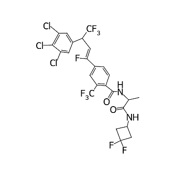 CC(NC(=O)c1ccc(/C(F)=C/C(c2cc(Cl)c(Cl)c(Cl)c2)C(F)(F)F)cc1C(F)(F)F)C(=O)NC1CC(F)(F)C1